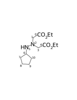 CCOC(=O)CN(CC(=O)OCC)NC1CCCC1